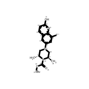 C[C@@H]1CN(c2cc(F)c3nc(O)ccc3c2)C[C@@H](C)N1C(=O)OC(C)(C)C